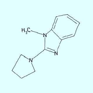 Cn1c(N2CCCC2)nc2ccccc21